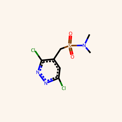 CN(C)S(=O)(=O)Cc1cc(Cl)nnc1Cl